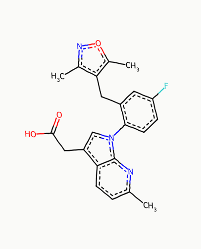 Cc1ccc2c(CC(=O)O)cn(-c3ccc(F)cc3Cc3c(C)noc3C)c2n1